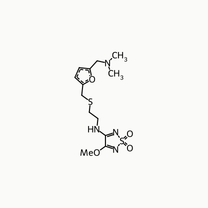 COC1=NS(=O)(=O)N=C1NCCSCc1ccc(CN(C)C)o1